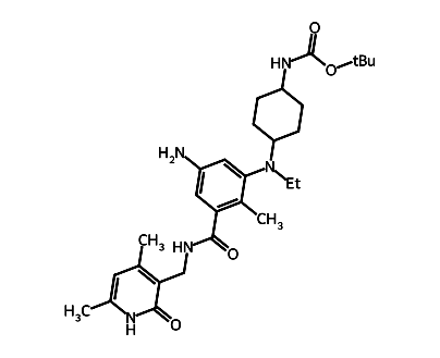 CCN(c1cc(N)cc(C(=O)NCc2c(C)cc(C)[nH]c2=O)c1C)C1CCC(NC(=O)OC(C)(C)C)CC1